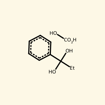 CCC(O)(O)c1ccccc1.O=C(O)O